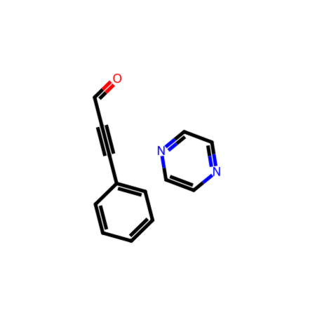 O=CC#Cc1ccccc1.c1cnccn1